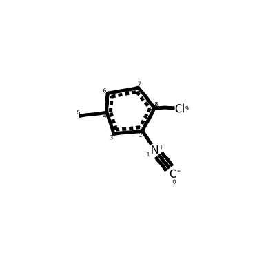 [C-]#[N+]c1cc(C)ccc1Cl